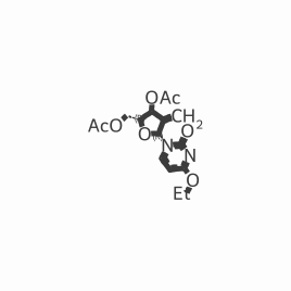 C=C1C(OC(C)=O)[C@@H](COC(C)=O)O[C@H]1n1ccc(OCC)nc1=O